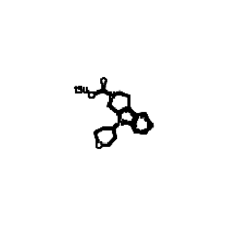 CC(C)(C)OC(=O)N1CCc2c(n(C3CCOCC3)c3ccccc23)C1